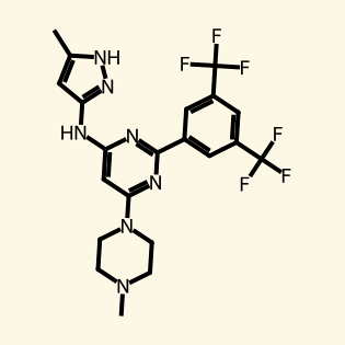 Cc1cc(Nc2cc(N3CCN(C)CC3)nc(-c3cc(C(F)(F)F)cc(C(F)(F)F)c3)n2)n[nH]1